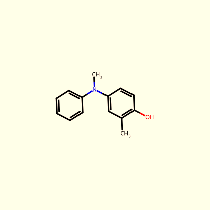 Cc1cc(N(C)c2ccccc2)ccc1O